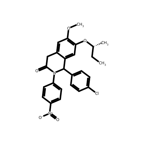 CC[C@@H](C)Oc1cc2c(cc1OC)CC(=O)N(c1ccc([N+](=O)[O-])cc1)C2c1ccc(Cl)cc1